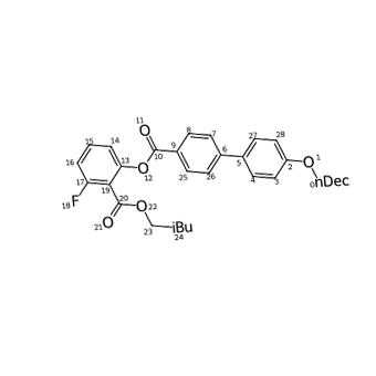 CCCCCCCCCCOc1ccc(-c2ccc(C(=O)Oc3cccc(F)c3C(=O)OCC(C)CC)cc2)cc1